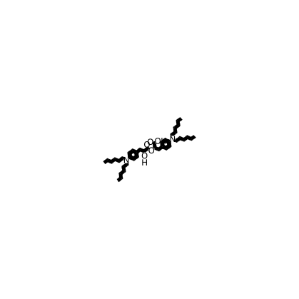 CCCCCCN(CCCCCC)c1ccc(CC(O)C(=O)OC(Cc2ccc(N(CCCCCC)CCCCCC)cc2)C(=O)O)cc1